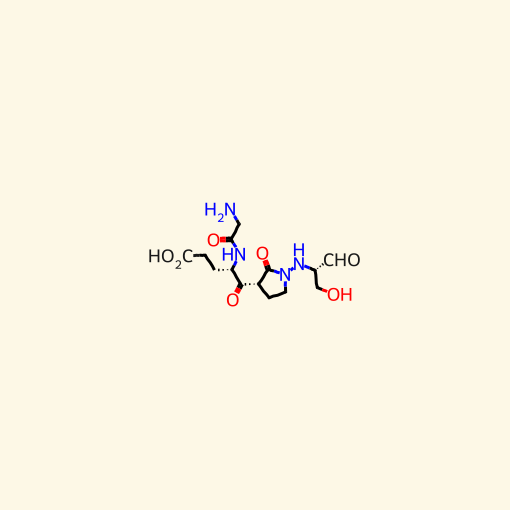 NCC(=O)N[C@@H](CCC(=O)O)C(=O)[C@H]1CCN(N[C@H](C=O)CO)C1=O